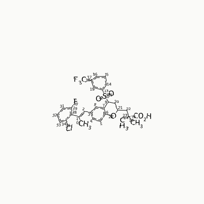 C/C(=C\c1ccc2c(c1)C(S(=O)(=O)c1cccc(C(F)(F)F)c1)CC(CC(C)(C)C(=O)O)O2)c1c(F)cccc1Cl